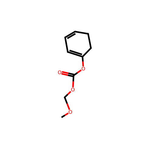 COCOC(=O)OC1=CC=CCC1